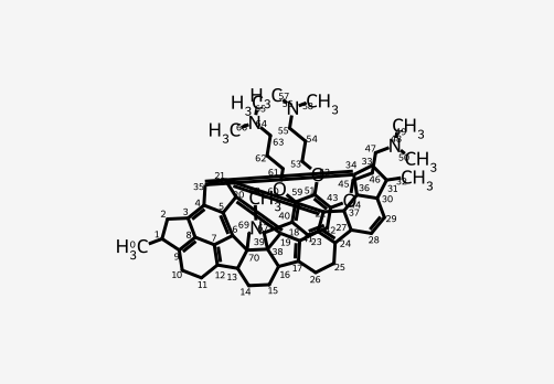 CC1Cc2c3c4c5c6c2=C1CCC=6C1CCC2C6=c7c(c-4c4c8c7=C(CC6)C6C=CC7C(C)CC(=C34)C7C86)C23C(c2ccc(OCCCN(C)C)c(OCCCN(C)C)c2OCCCN(C)C)N(C)CC513